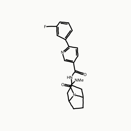 CNC(=O)N1C2CCC1CC(NC(=O)c1ccc(-c3cccc(F)c3)nc1)C2